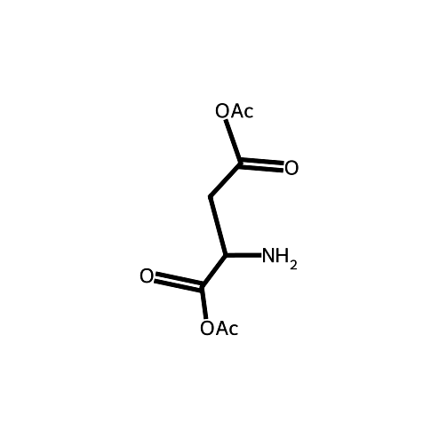 CC(=O)OC(=O)CC(N)C(=O)OC(C)=O